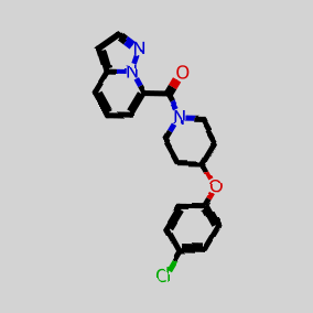 O=C(c1cccc2ccnn12)N1CCC(Oc2ccc(Cl)cc2)CC1